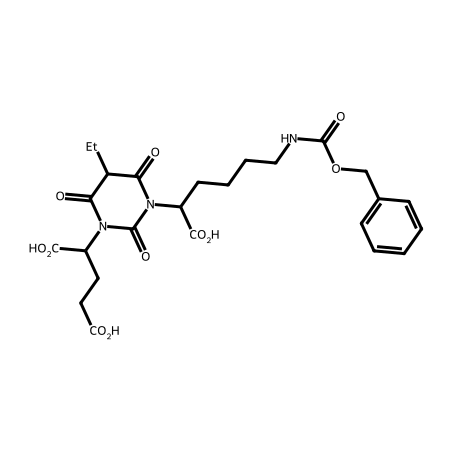 CCC1C(=O)N(C(CCCCNC(=O)OCc2ccccc2)C(=O)O)C(=O)N(C(CCC(=O)O)C(=O)O)C1=O